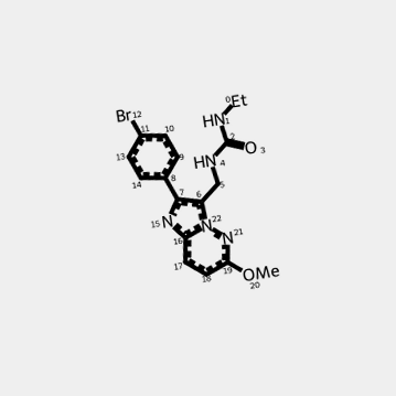 CCNC(=O)NCc1c(-c2ccc(Br)cc2)nc2ccc(OC)nn12